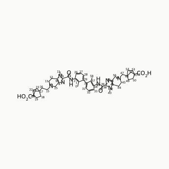 Cc1c(NC(=O)c2nc3c(n2C)CCN(CCC24CCC(C(=O)O)(CC2)C4)C3)cccc1-c1cccc(NC(=O)c2nc3c(n2C)CCN(CC24CCC(C(=O)O)(CC2)C4)C3)c1C